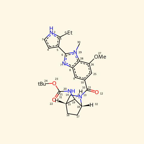 CCc1[nH]ccc1-c1nc2cc(C(=O)N3C[C@H]4CC[C@@H]3[C@@H]4NC(=O)OC(C)(C)C)cc(OC)c2n1C